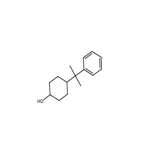 CC(C)(c1cc[c]cc1)C1CCC(O)CC1